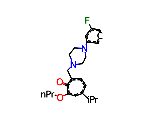 CCCOc1cc(C(C)C)ccc(CN2CCN(c3cccc(F)c3)CC2)c1=O